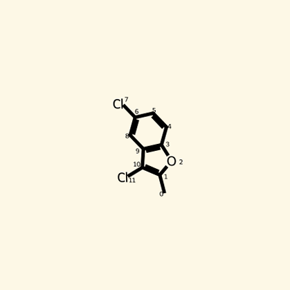 Cc1oc2ccc(Cl)cc2c1Cl